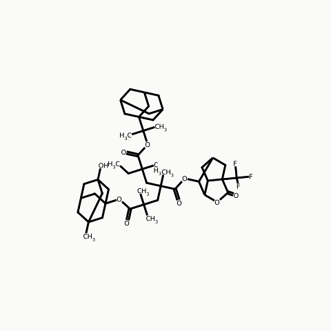 CCC(C)(CC(C)(CC(C)(C)C(=O)OC12CC3CC(C)(CC(O)(C3)C1)C2)C(=O)OC1C2CC3C1OC(=O)C3(C(F)(F)F)C2)C(=O)OC(C)(C)C12CC3CC(CC(C3)C1)C2